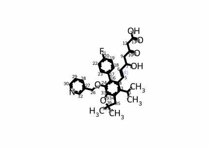 CC(C)c1c(/C=C/C(O)CC(=O)CC(=O)O)c(-c2ccc(F)cc2)c(OCc2cccnc2)c2c1CC(C)(C)O2